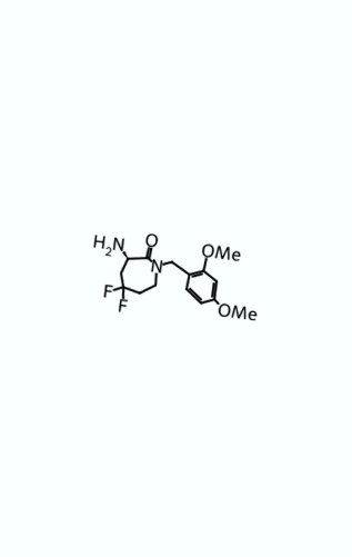 COc1ccc(CN2CCC(F)(F)C[C@@H](N)C2=O)c(OC)c1